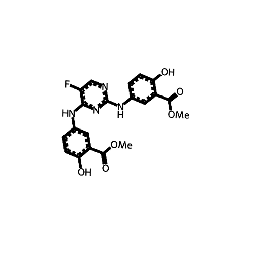 COC(=O)c1cc(Nc2ncc(F)c(Nc3ccc(O)c(C(=O)OC)c3)n2)ccc1O